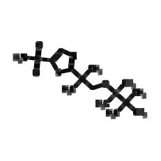 CC(C)(CO[Si](C)(C)C(C)(C)C)c1ncc(S(N)(=O)=O)s1